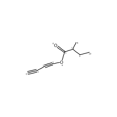 C#CC#COC(=O)C(C)CC